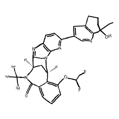 [2H]C([2H])([2H])N1C(=O)c2cccc(OC(F)F)c2[C@H]2C[C@@H]1c1nc3ccc(-c4cnc5c(c4)CCC5(C)O)nc3n12